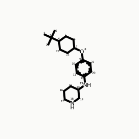 CC(C)(C)C1CCC(Oc2ccc(NC3CCCNC3)cc2)CC1